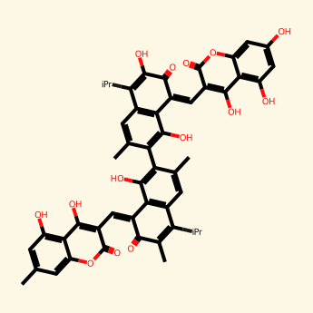 CC1=C(C(C)C)c2cc(C)c(-c3c(C)cc4c(c3O)/C(=C/c3c(O)c5c(O)cc(O)cc5oc3=O)C(=O)C(O)=C4C(C)C)c(O)c2/C(=C/c2c(O)c3c(O)cc(C)cc3oc2=O)C1=O